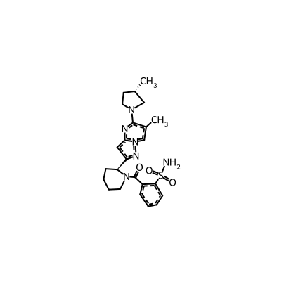 Cc1cn2nc([C@@H]3CCCCN3C(=O)c3ccccc3S(N)(=O)=O)cc2nc1N1CC[C@H](C)C1